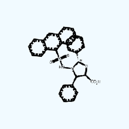 O=C(O)C1O[C@@H](c2ccccc2)N(NS(=O)(=O)c2c3ccccc3cc3ccccc23)C1c1ccccc1